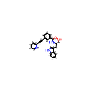 O=C(N[C@@H](CO)Cc1c[nH]c2ccccc12)c1cccc(C#Cc2ccccn2)c1